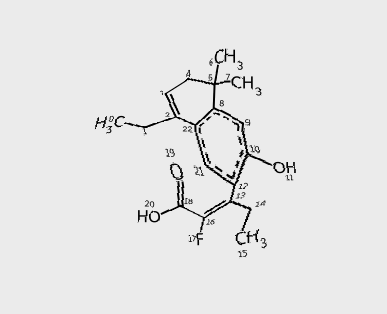 CCC1=CCC(C)(C)c2cc(O)c(/C(CC)=C(/F)C(=O)O)cc21